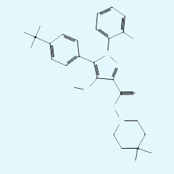 COc1c(C(=O)NN2CCC(F)(F)CC2)nn(-c2ccccc2Cl)c1-c1ccc(C(F)(F)F)cc1